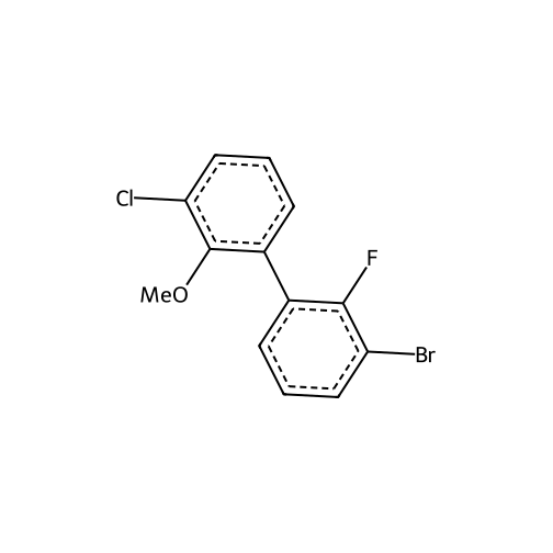 COc1c(Cl)cccc1-c1cccc(Br)c1F